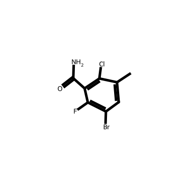 Cc1cc(Br)c(F)c(C(N)=O)c1Cl